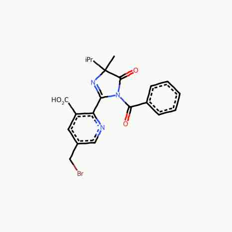 CC(C)C1(C)N=C(c2ncc(CBr)cc2C(=O)O)N(C(=O)c2ccccc2)C1=O